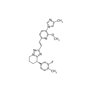 COc1nc(/C=C/c2nc3n(n2)CCC[C@@H]3c2ccc(C)c(F)c2)ccc1-n1cnc(C)c1